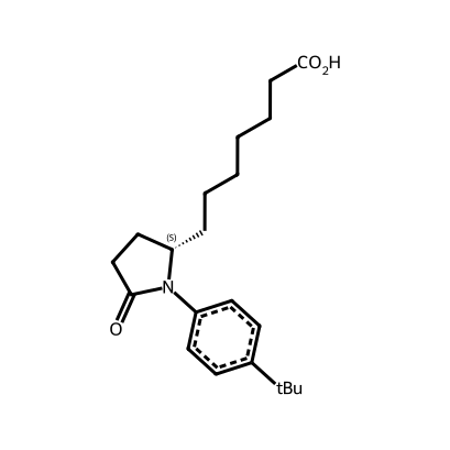 CC(C)(C)c1ccc(N2C(=O)CC[C@@H]2CCCCCCC(=O)O)cc1